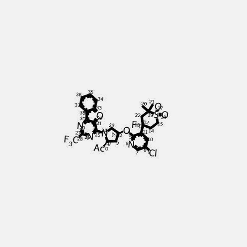 CC(=O)[C@@H]1C[C@H](Oc2ncc(Cl)cc2[C@]2(F)CCS(=O)(=O)C(C)(C)C2)CN1c1nc(C(F)(F)F)nc2c1oc1ccccc12